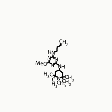 C=CCCNc1nc(NC2CC(C)(C)N(C)C(C)(C)C2)nc(OC)n1